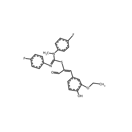 CCOc1cc(/C=C(\C=O)S/C(=N/c2ccc(F)cc2)N(C)c2ccc(F)cc2)ccc1O